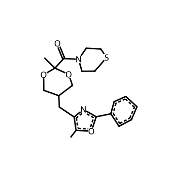 Cc1oc(-c2ccccc2)nc1CC1COC(C)(C(=O)N2CCSCC2)OC1